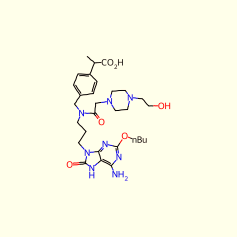 CCCCOc1nc(N)c2[nH]c(=O)n(CCCN(Cc3ccc(C(C)C(=O)O)cc3)C(=O)CN3CCN(CCO)CC3)c2n1